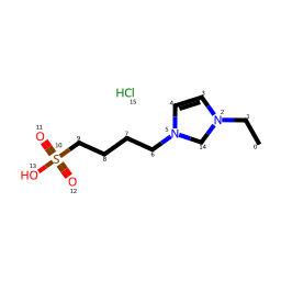 CCN1C=CN(CCCCS(=O)(=O)O)C1.Cl